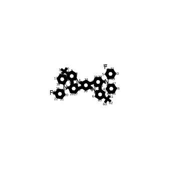 CC(C)(C)c1ccc2c(c1)c1c(N(c3ccccc3)c3cccc(F)c3)ccc3c4cc5c(cc4n2c31)c1ccc(N(c2ccccc2)c2cccc(F)c2)c2c3cc(C(C)(C)C)ccc3n5c12